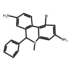 CN1c2cc(N)cc(Br)c2-c2ccc(N)cc2C1c1ccccc1